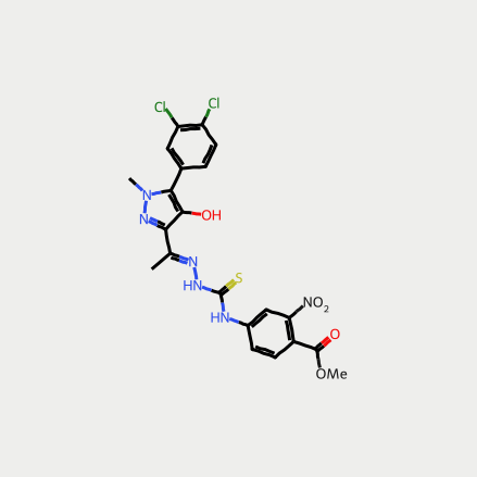 COC(=O)c1ccc(NC(=S)N/N=C(\C)c2nn(C)c(-c3ccc(Cl)c(Cl)c3)c2O)cc1[N+](=O)[O-]